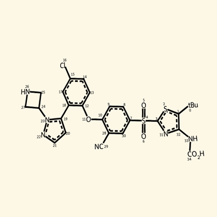 CC(C)(C)c1sc(S(=O)(=O)c2ccc(Oc3ccc(Cl)cc3-c3ccnn3C3CNC3)c(C#N)c2)nc1NC(=O)O